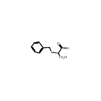 CCC(=O)C(SCc1ccccc1)C(=O)O